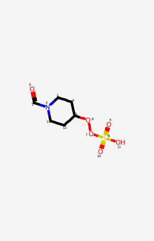 O=[C]N1CCC(OOS(=O)(=O)O)CC1